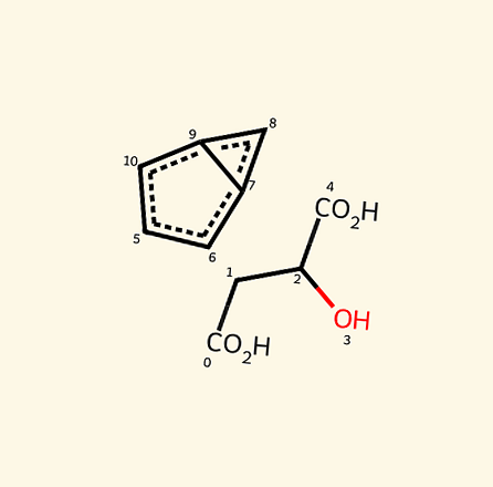 O=C(O)CC(O)C(=O)O.c1cc2cc-2c1